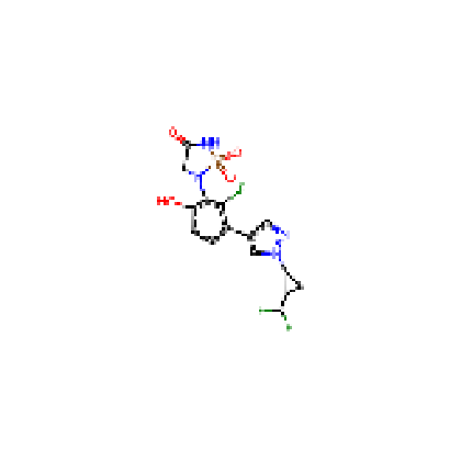 O=C1CN(c2c(O)ccc(-c3cnn(C4CC4C(F)F)c3)c2F)S(=O)(=O)N1